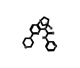 O=C(Nc1cccnc1)N1c2nc(N3CCOCC3)ccc2N2CC[C@H]1C2